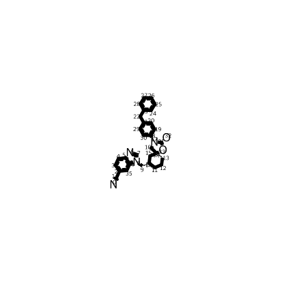 N#Cc1ccc2ncn(C[C@H]3CCC[C@]4(C3)CN(c3ccc(Cc5ccccc5)cc3)C(=O)O4)c2c1